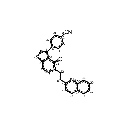 N#Cc1ccc(-c2csc3cnn(CCc4ccc5ccccc5n4)c(=O)c23)cc1